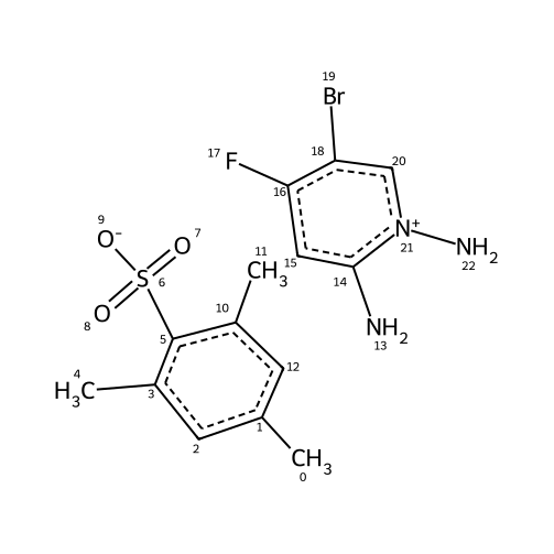 Cc1cc(C)c(S(=O)(=O)[O-])c(C)c1.Nc1cc(F)c(Br)c[n+]1N